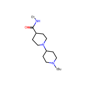 CCNC(=O)C1CCN(C2CCN(C(C)(C)C)CC2)CC1